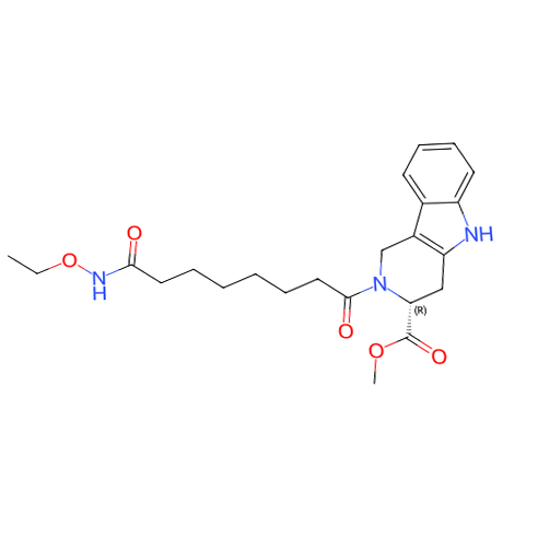 CCONC(=O)CCCCCCC(=O)N1Cc2c([nH]c3ccccc23)C[C@@H]1C(=O)OC